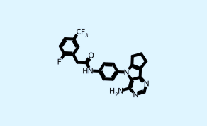 Nc1ncnc2c3c(n(-c4ccc(NC(=O)Cc5cc(C(F)(F)F)ccc5F)cc4)c12)CCC3